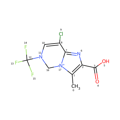 CC1=C(C(=O)O)N=C2C(Cl)=CN(C(F)(F)F)C[N+]21